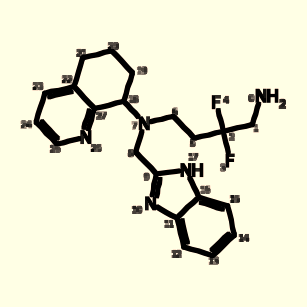 NCC(F)(F)CCN(Cc1nc2ccccc2[nH]1)C1CCCc2cccnc21